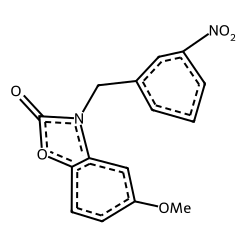 COc1ccc2oc(=O)n(Cc3cccc([N+](=O)[O-])c3)c2c1